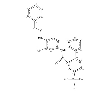 O=C(Nc1ccc(NCCc2ccccn2)c(Cl)c1)c1cc(C(F)(F)F)ccc1-c1ccccc1